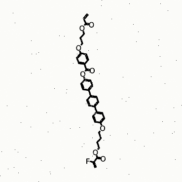 C=CC(=O)OCCCOc1ccc(C(=O)Oc2ccc(-c3ccc(-c4ccc(OCCCCOC(=O)C(=C)F)cc4)cc3)cc2)cc1